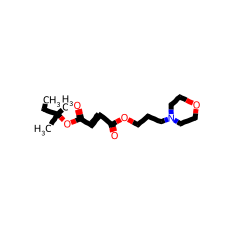 CCC(C)(C)OC(=O)/C=C/C(=O)OCCCN1CCOCC1